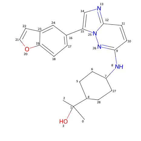 CC(C)(O)C1CCC(Nc2ccc3ncc(-c4ccc5occc5c4)n3n2)CC1